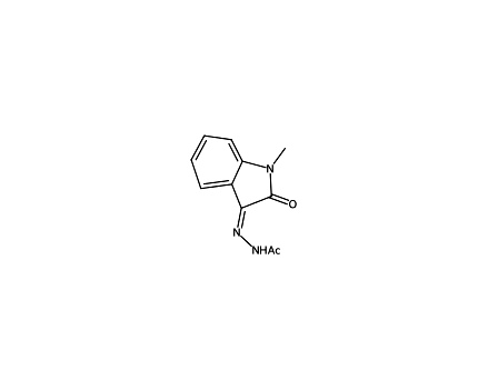 [CH2]C(=O)NN=C1C(=O)N(C)c2ccccc21